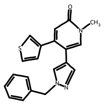 Cn1cc(-c2cnn(Cc3ccccc3)c2)c(-c2ccsc2)cc1=O